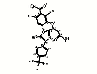 NC(=O)c1c(F)ccc(OC(CC(=O)O)c2nc(-c3ccc(C(F)(F)F)cc3)c(Br)o2)c1F